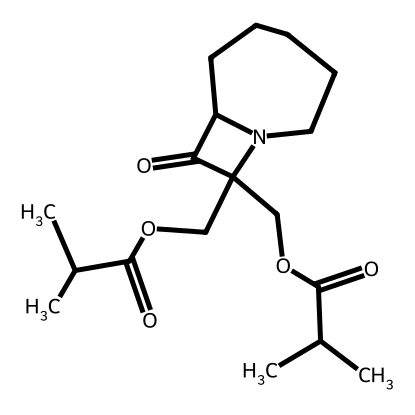 CC(C)C(=O)OCC1(COC(=O)C(C)C)C(=O)C2CCCCCN21